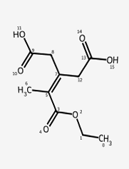 CCOC(=O)C(C)=C(CC(=O)O)CC(=O)O